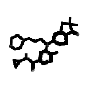 Cc1ccc(C(=O)NC2CC2)cc1N(CCCN1CCOCC1)c1ccc2c(c1)CC(C)(C)C2=O